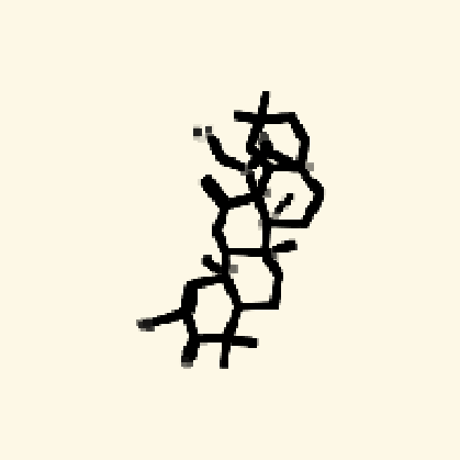 C=C1CC2[C@@]3(C)C=C(C#N)C(=O)C(C)(C)C3CC[C@@]2(C)[C@]2(C)CC[C@@]34CCC(C)(C)CC3[C@@]12N(CC(F)(F)F)C4=O